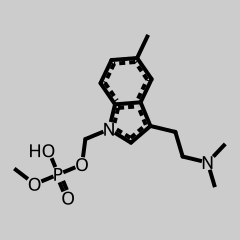 COP(=O)(O)OCn1cc(CCN(C)C)c2cc(C)ccc21